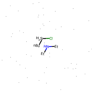 CCCC[SiH2]Cl.CCNCC